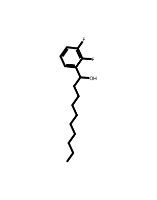 CCCCCCCCCC(O)c1cccc(F)c1F